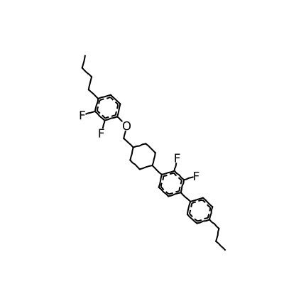 CCCCc1ccc(OCC2CCC(c3ccc(-c4ccc(CCC)cc4)c(F)c3F)CC2)c(F)c1F